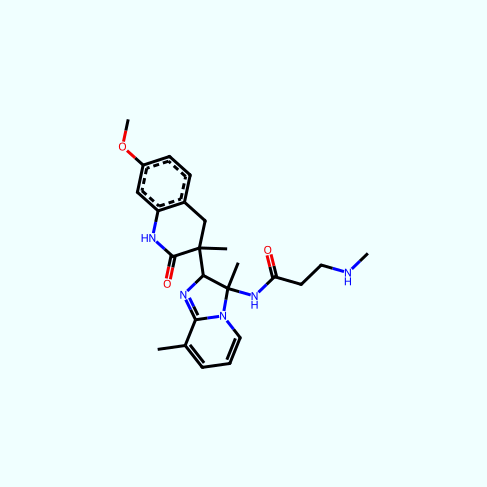 CNCCC(=O)NC1(C)C(C2(C)Cc3ccc(OC)cc3NC2=O)N=C2C(C)=CC=CN21